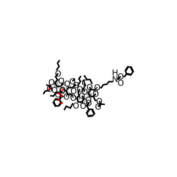 CCCCOCC1O[C@@H](O[C@@H]2C(COC(C)=O)O[C@H](OCCCCCNC(=O)OCc3ccccc3)C(OCCCC)[C@H]2OCCCC)[C@@H](OC(=O)c2ccccc2)C(OCCCC)[C@@H]1O[C@@H]1OC(C(=O)OC)[C@@H](O[C@H]2OC(COCCCC)[C@H](OC(C)=O)[C@H](OCCCC)C2OCCCC)C(OCCCC)[C@@H]1OC(=O)c1ccccc1